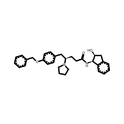 O=C(CC[C@H](Cc1ccc(OCc2ccccc2)cc1)N1CCCC1)N[C@@H]1c2ccccc2C[C@@H]1O